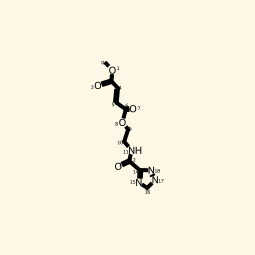 COC(=O)/C=C/C(=O)OCCNC(=O)C1=NCN=N1